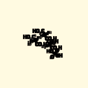 O=C(O)C(F)(F)C(=O)O.O=C(O)C(F)(F)C(=O)O.O=C(O)C(F)(F)C(=O)O.O=P([O-])(O)O.[Li+]